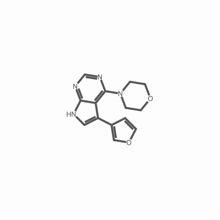 c1nc(N2CCOCC2)c2c(-c3ccoc3)c[nH]c2n1